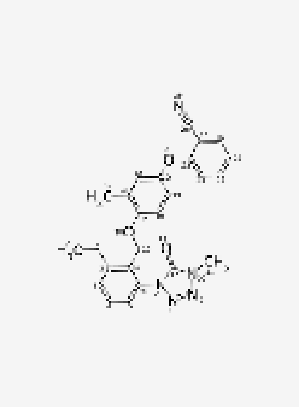 CCc1cccc(-n2nnn(C)c2=O)c1COc1ccc(Oc2ccccc2C#N)cc1C